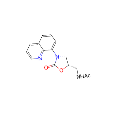 CC(=O)NC[C@H]1CN(c2cccc3cccnc23)C(=O)O1